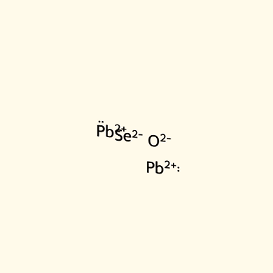 [O-2].[Pb+2].[Pb+2].[Se-2]